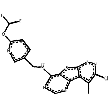 Cc1c(Cl)nnc2sc3c(NCc4ccc(OC(F)F)nc4)ncnc3c12